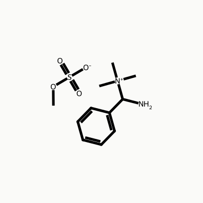 COS(=O)(=O)[O-].C[N+](C)(C)C(N)c1ccccc1